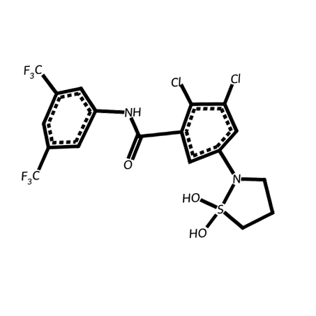 O=C(Nc1cc(C(F)(F)F)cc(C(F)(F)F)c1)c1cc(N2CCCS2(O)O)cc(Cl)c1Cl